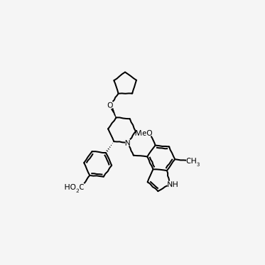 COc1cc(C)c2[nH]ccc2c1CN1CC[C@H](OC2CCCC2)C[C@H]1c1ccc(C(=O)O)cc1